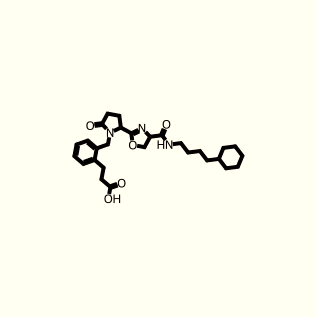 O=C(O)CCc1ccccc1CN1C(=O)CCC1C1=NC(C(=O)NCCCCC2CCCCC2)CO1